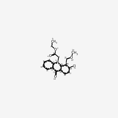 CCOC(=O)Cn1c2ccccc2c(=O)c2ccc(Cl)c(COC)c21